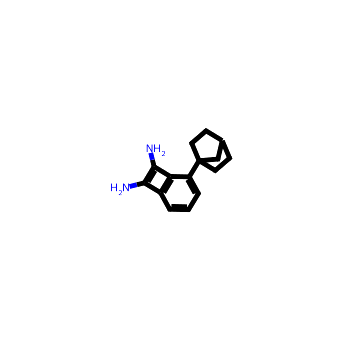 NC1=C(N)c2c1cccc2C12CCC(CC1)C2